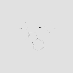 C[C@@H](Cl)c1nc2ccccc2n1C[C@@H]1CCO1